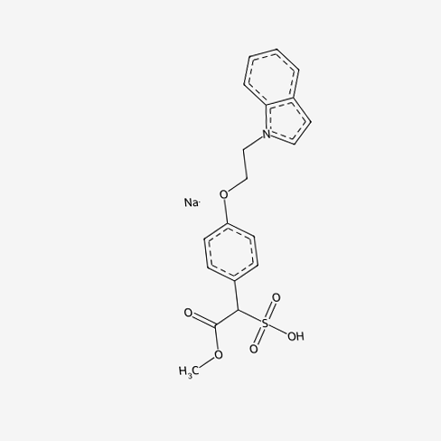 COC(=O)C(c1ccc(OCCn2ccc3ccccc32)cc1)S(=O)(=O)O.[Na]